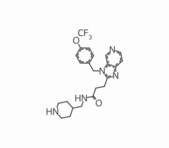 O=C(CCc1nc2ccncc2n1Cc1ccc(OC(F)(F)F)cc1)NCC1CCNCC1